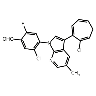 Cc1cnc2c(c1)c(C1=CC=CCC=C1Cl)cn2-c1cc(F)c(C=O)cc1Cl